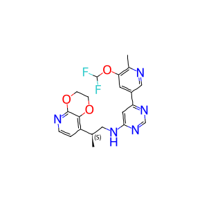 Cc1ncc(-c2cc(NC[C@@H](C)c3ccnc4c3OCCO4)ncn2)cc1OC(F)F